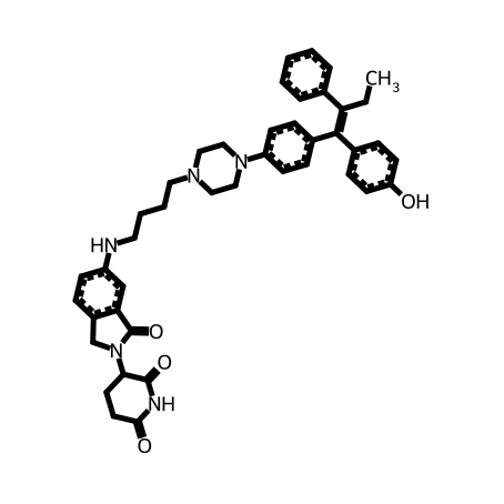 CC/C(=C(\c1ccc(O)cc1)c1ccc(N2CCN(CCCCNc3ccc4c(c3)C(=O)N(C3CCC(=O)NC3=O)C4)CC2)cc1)c1ccccc1